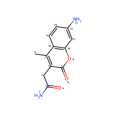 Cc1c(CC(N)=O)c(=O)oc2cc(N)ccc12